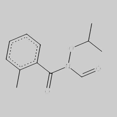 Cc1ccccc1C(=O)N(C=O)OC(C)C